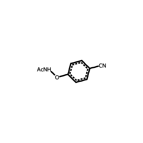 CC(=O)NOc1ccc(C#N)cc1